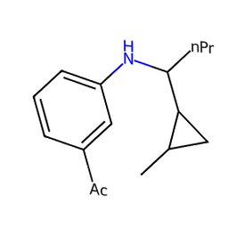 CCCC(Nc1cccc(C(C)=O)c1)C1CC1C